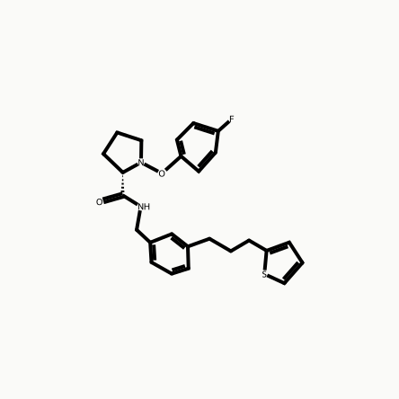 O=C(NCc1cccc(CCCc2cccs2)c1)[C@@H]1CCCN1Oc1ccc(F)cc1